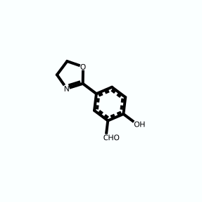 O=Cc1cc(C2=NCCO2)ccc1O